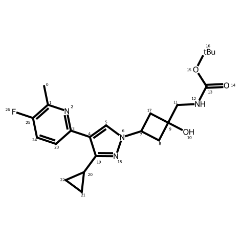 Cc1nc(-c2cn(C3CC(O)(CNC(=O)OC(C)(C)C)C3)nc2C2CC2)ccc1F